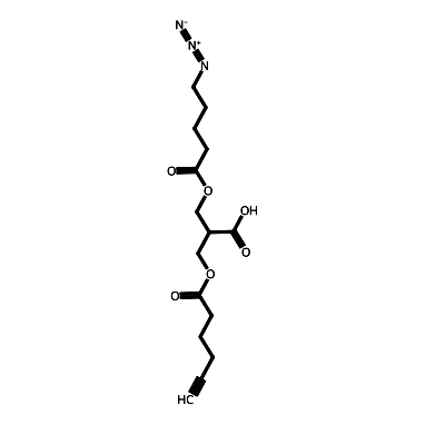 C#CCCCC(=O)OCC(COC(=O)CCCCN=[N+]=[N-])C(=O)O